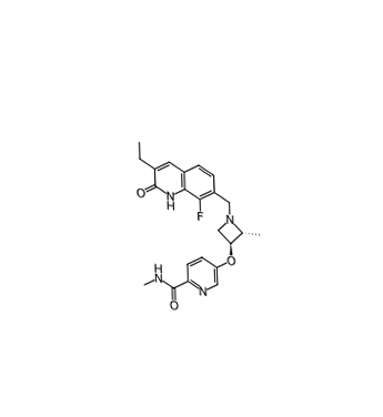 CCc1cc2ccc(CN3C[C@H](Oc4ccc(C(=O)NC)nc4)[C@H]3C)c(F)c2[nH]c1=O